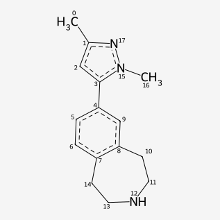 Cc1cc(-c2ccc3c(c2)CCNCC3)n(C)n1